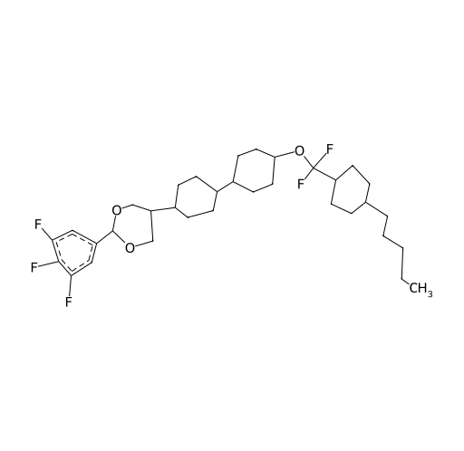 CCCCCC1CCC(C(F)(F)OC2CCC(C3CCC(C4COC(c5cc(F)c(F)c(F)c5)OC4)CC3)CC2)CC1